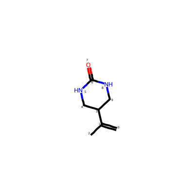 C=C(C)C1CNC(=O)NC1